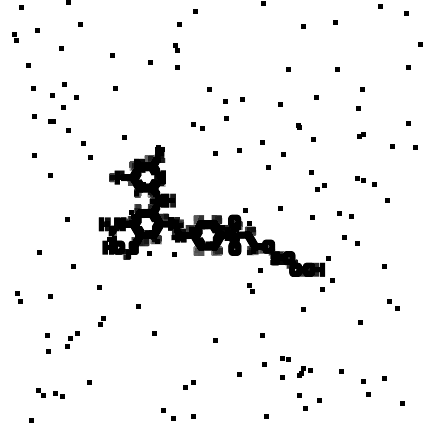 Nc1cc(Nc2cc(F)nc(F)n2)c(/N=N/c2ccc(S(=O)(=O)CCOSOOO)cc2)cc1S(=O)(=O)O